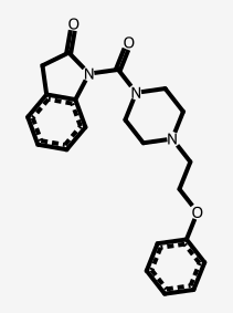 O=C1Cc2ccccc2N1C(=O)N1CCN(CCOc2ccccc2)CC1